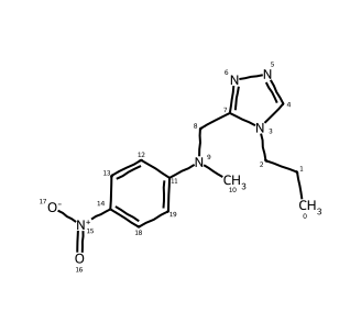 CCCn1cnnc1CN(C)c1ccc([N+](=O)[O-])cc1